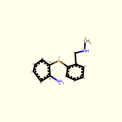 CNCc1ccccc1Sc1ccccc1N